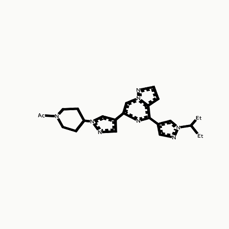 CCC(CC)n1cc(-c2nc(-c3cnn(C4CCN(C(C)=O)CC4)c3)cn3nccc23)cn1